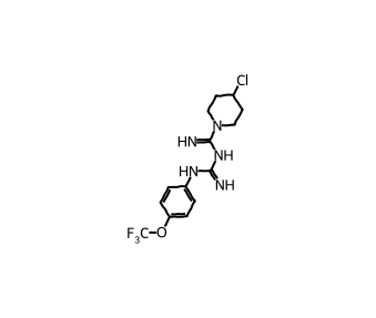 N=C(NC(=N)N1CCC(Cl)CC1)Nc1ccc(OC(F)(F)F)cc1